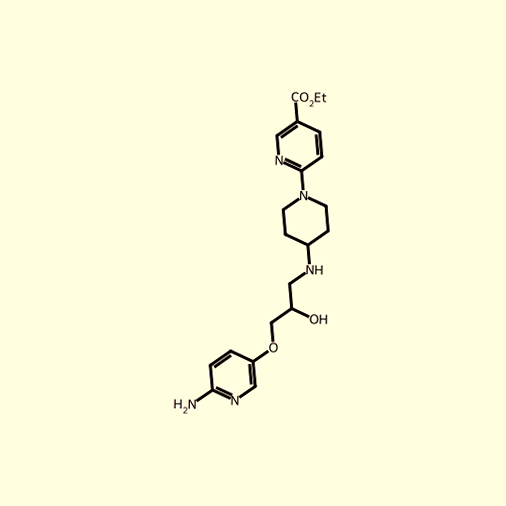 CCOC(=O)c1ccc(N2CCC(NCC(O)COc3ccc(N)nc3)CC2)nc1